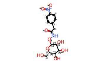 O=C(Cc1ccc([N+](=O)[O-])cc1)NOC1O[C@H](CO)[C@@H](O)[C@H](O)[C@H]1O